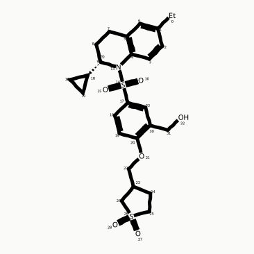 CCc1ccc2c(c1)CC[C@@H](C1CC1)N2S(=O)(=O)c1ccc(OCC2CCS(=O)(=O)C2)c(CO)c1